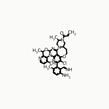 C=CC(=O)N1CC2CCOc3c(Cl)c(-c4c(C)ccc(N)c4C=N)nc4c3C(=NC3OC(C)c5nccc(C)c5N43)N2CC1C